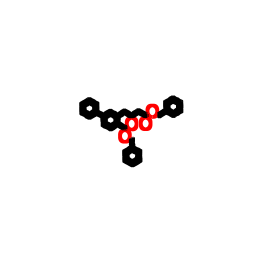 O=C(CCCc1cc(-c2ccccc2)ccc1C(=O)OCc1ccccc1)OCc1ccccc1